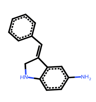 Nc1ccc2c(c1)C(=Cc1ccccc1)CN2